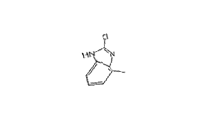 Cc1cccc2[nH]c(Cl)nc12